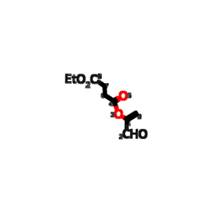 C=C(C=O)OC(=O)CCC(=O)OCC